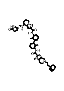 Cc1c(NC(=O)c2cc3n(n2)CCCC3NC[C@@H]2CCC(=O)N2)cccc1-c1cccc(NC(=O)c2nc3c(n2C)CCN(CCC24CCC(CC2)C4)C3)c1C